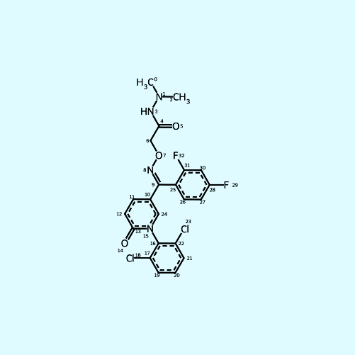 CN(C)NC(=O)CON=C(c1ccc(=O)n(-c2c(Cl)cccc2Cl)c1)c1ccc(F)cc1F